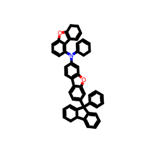 C1=CCCC(N(c2ccc3c(c2)oc2cc(C4(c5ccccc5)C5=CC=CCC5c5ccccc54)ccc23)c2cccc3oc4c(c23)C=CCC4)=C1